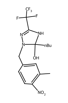 CCCCC1(O)NC(C(F)(F)C(F)(F)F)=NN1Cc1ccc([N+](=O)[O-])c(C)c1